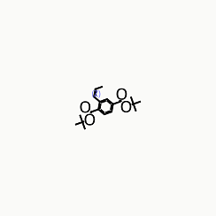 C/C=C\c1cc(C(=O)OC(C)(C)C)ccc1C(=O)OC(C)(C)C